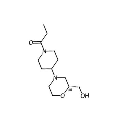 CCC(=O)N1CCC(N2CCO[C@@H](CO)C2)CC1